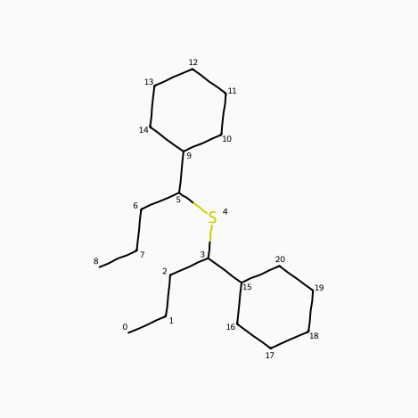 CCCC(SC(CCC)C1CCCCC1)C1CCCCC1